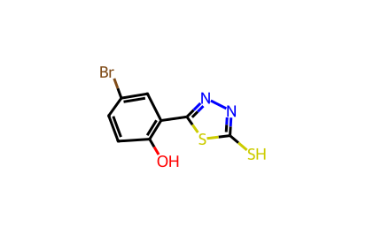 Oc1ccc(Br)cc1-c1nnc(S)s1